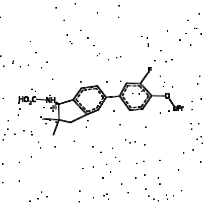 CCCOc1ccc(-c2ccc3c(c2)CC(C)(C)[C@H]3NC(=O)O)cc1F